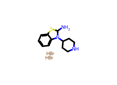 Br.Br.NC1Sc2ccccc2N1C1CCNCC1